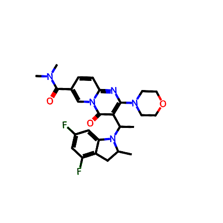 CC1Cc2c(F)cc(F)cc2N1C(C)c1c(N2CCOCC2)nc2ccc(C(=O)N(C)C)cn2c1=O